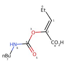 CCC=C(OC(=O)NCCCC)C(=O)O